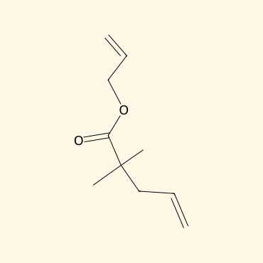 C=CCOC(=O)C(C)(C)CC=C